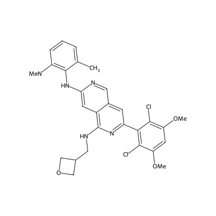 CNc1cccc(C)c1Nc1cc2c(NCC3COC3)nc(-c3c(Cl)c(OC)cc(OC)c3Cl)cc2cn1